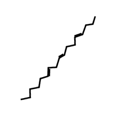 CCCC=CCCC=CCC=CCCCCC